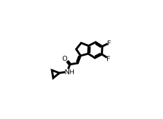 O=C(/C=C1\CCc2cc(F)c(F)cc21)NC1CC1